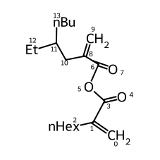 C=C(CCCCCC)C(=O)OC(=O)C(=C)CC(CC)CCCC